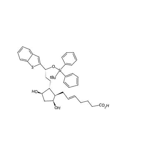 CC(C)(C)[Si](O[C@H](CC[C@@H]1[C@@H](CC=CCCCC(=O)O)[C@@H](O)C[C@H]1O)c1cc2ccccc2s1)(c1ccccc1)c1ccccc1